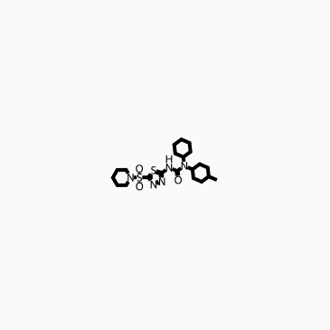 CC1CCC(N(C(=O)Nc2nnc(S(=O)(=O)N3CCCCC3)s2)C2CCCCC2)CC1